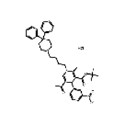 CC(=O)C1=CN(CCCCN2CCC(c3ccccc3)(c3ccccc3)CC2)C(C)=C(C(=O)OC(C)(C)C)C1c1cccc([N+](=O)[O-])c1.Cl